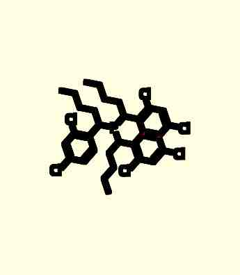 CCCCC(c1ccc(Cl)cc1Cl)P(C(CCCC)c1ccc(Cl)cc1Cl)C(CCCC)c1ccc(Cl)cc1Cl